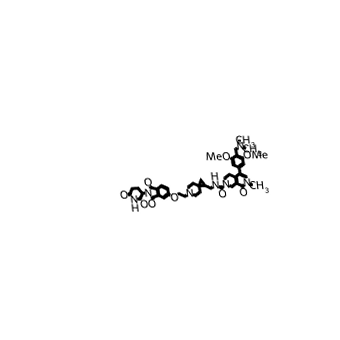 COc1cc(-c2cn(C)c(=O)c3c2CCN(C(=O)NCC2CC24CCN(CCOc2ccc5c(c2)C(=O)N(C2CCC(=O)NC2=O)C5=O)CC4)C3)cc(OC)c1CN(C)C